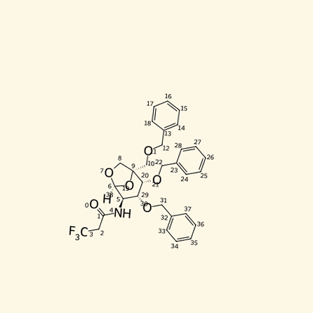 O=C(CC(F)(F)F)N[C@H]1[C@H]2OC[C@](COCc3ccccc3)(O2)[C@H](OCc2ccccc2)[C@@H]1OCc1ccccc1